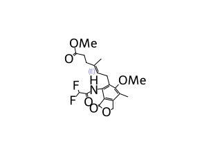 COC(=O)CC/C(C)=C/Cc1c(NC(=O)C(F)F)c2c(c(C)c1OC)COC2=O